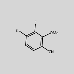 COc1c(C#N)ccc(Br)c1F